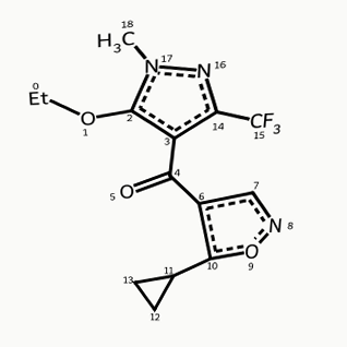 CCOc1c(C(=O)c2cnoc2C2CC2)c(C(F)(F)F)nn1C